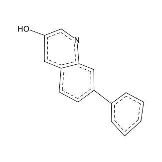 Oc1cnc2cc(-c3ccccc3)ccc2c1